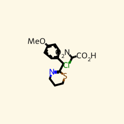 COc1ccc(CC2=NCCCS2)cc1.O=C(O)C(Cl)[N+](=O)[O-]